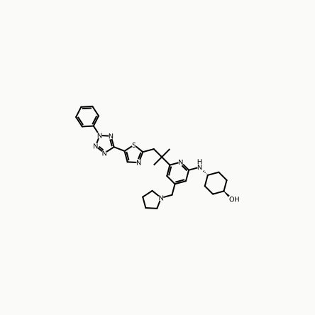 CC(C)(Cc1ncc(-c2nnn(-c3ccccc3)n2)s1)c1cc(CN2CCCC2)cc(N[C@H]2CC[C@H](O)CC2)n1